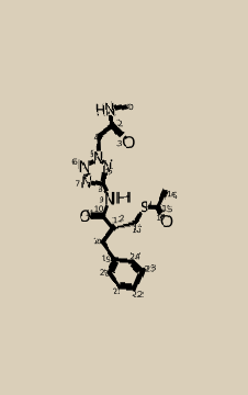 CNC(=O)Cn1nnc(NC(=O)[C@@H](CSC(C)=O)Cc2ccccc2)n1